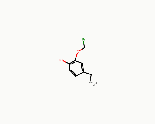 O=C(O)Cc1ccc(O)c(OCBr)c1